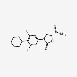 NC(=O)[C@H]1CN(c2cc(F)c(C3CCCCC3)c(F)c2)C(=O)O1